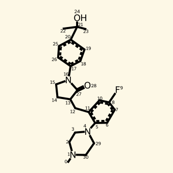 CN1CCN(c2ccc(F)cc2CC2CCN(c3ccc(C(C)(C)O)cc3)C2=O)CC1